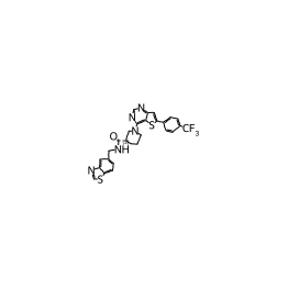 O=C(NCc1ccc2scnc2c1)[C@H]1CCCN(c2ncnc3cc(-c4ccc(C(F)(F)F)cc4)sc23)C1